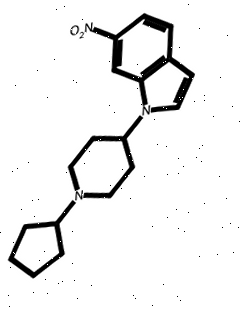 O=[N+]([O-])c1ccc2ccn(C3CCN(C4CCCC4)CC3)c2c1